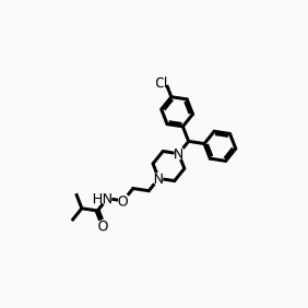 CC(C)C(=O)NOCCN1CCN(C(c2ccccc2)c2ccc(Cl)cc2)CC1